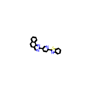 c1ccc2c(c1)ccc1cnc(-c3ccc(-c4nc5ccccc5s4)nc3)nc12